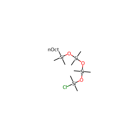 CCCCCCCC[Si](C)(C)O[Si](C)(C)O[Si](C)(C)O[Si](C)(C)Cl